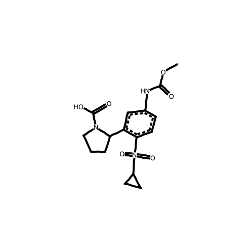 COC(=O)Nc1ccc(S(=O)(=O)C2CC2)c(C2CCCN2C(=O)O)c1